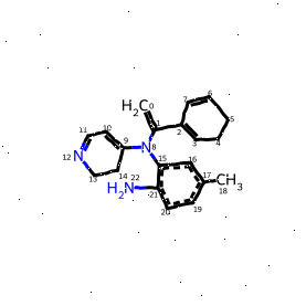 C=C(C1=CCCC=C1)N(C1=CC=NCC1)c1cc(C)ccc1N